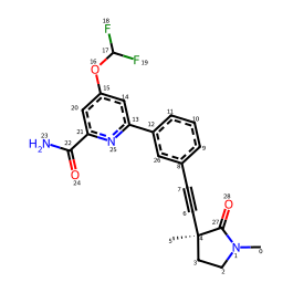 CN1CC[C@@](C)(C#Cc2cccc(-c3cc(OC(F)F)cc(C(N)=O)n3)c2)C1=O